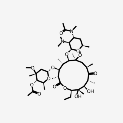 CC[C@H]1OC(=O)[C@H](C)[C@@H](O[C@H]2C[C@@](C)(OC)[C@@H](OC(C)=O)[C@H](C)O2)[C@H](C)[C@@H](O[C@@H]2O[C@H](C)C[C@@H](N(C)C(C)=O)[C@@H]2N(C)C)[C@@](C)(OC)C[C@@H](C)C(=O)[C@H](C)[C@@H](O)[C@]1(C)O